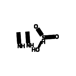 C=N.C=N.O=[SH](=O)O